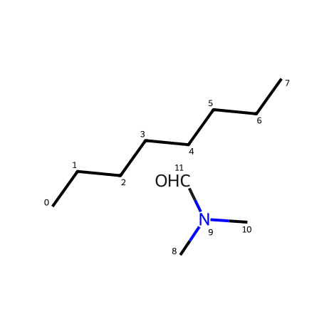 CCCCCCCC.CN(C)C=O